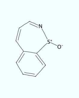 [O-][S+]1N=CC=Cc2ccccc21